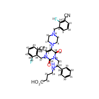 Cc1c(N2CCN(Cc3cccc(C#N)c3F)CC2)c(=O)n(C[C@H](NCCCC(=O)O)c2ccccc2)c(=O)n1Cc1c(F)cccc1C(F)(F)F